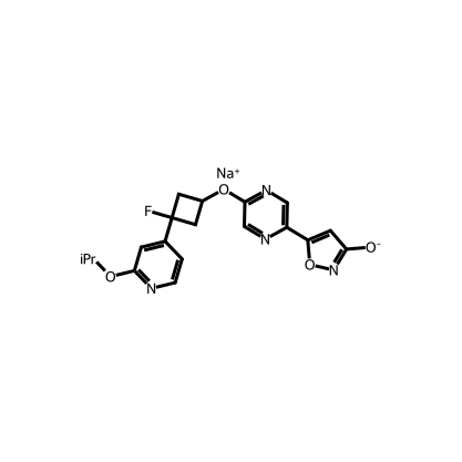 CC(C)Oc1cc(C2(F)CC(Oc3cnc(-c4cc([O-])no4)cn3)C2)ccn1.[Na+]